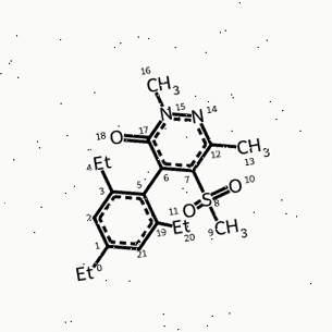 CCc1cc(CC)c(-c2c(S(C)(=O)=O)c(C)nn(C)c2=O)c(CC)c1